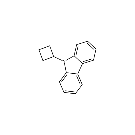 c1ccc2c(c1)c1ccccc1n2C1CCC1